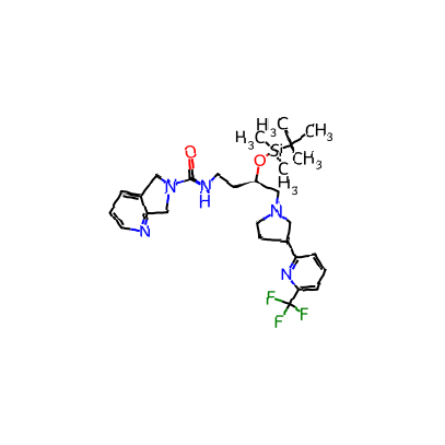 CC(C)(C)[Si](C)(C)O[C@H](CCNC(=O)N1Cc2cccnc2C1)CN1CCC(c2cccc(C(F)(F)F)n2)C1